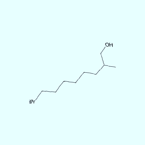 CC(C)CCCCCCC(C)CO